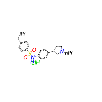 CCCN1CCC(c2ccc(NS(=O)(=O)c3ccc(CC(C)C)cc3)cc2)C1.Cl